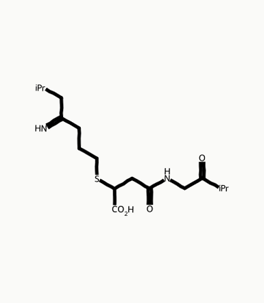 CC(C)CC(=N)CCCSC(CC(=O)NCC(=O)C(C)C)C(=O)O